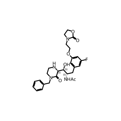 CC(=O)N[C@@H](Cc1cc(F)cc(OCCN2CCOC2=O)c1)[C@H](O)[C@@H]1NCCN(Cc2ccccc2)C1=O